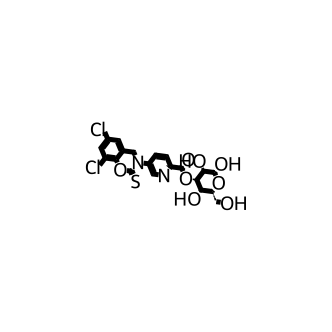 O=C(O[C@H]1[C@H](O)[C@@H](CO)OC(O)[C@@H]1O)c1ccc(N2Cc3cc(Cl)cc(Cl)c3OC2=S)cn1